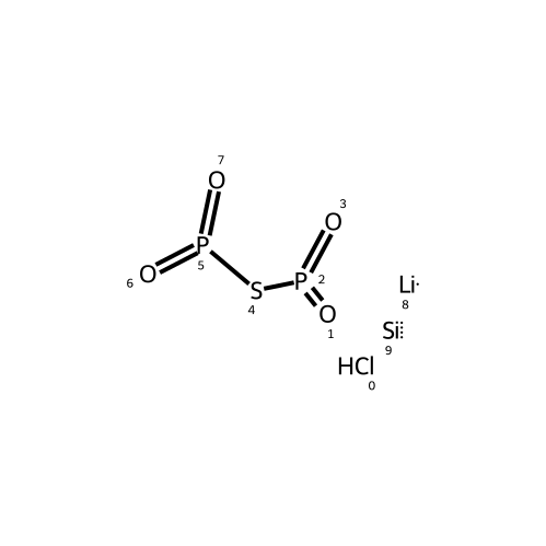 Cl.O=P(=O)SP(=O)=O.[Li].[Si]